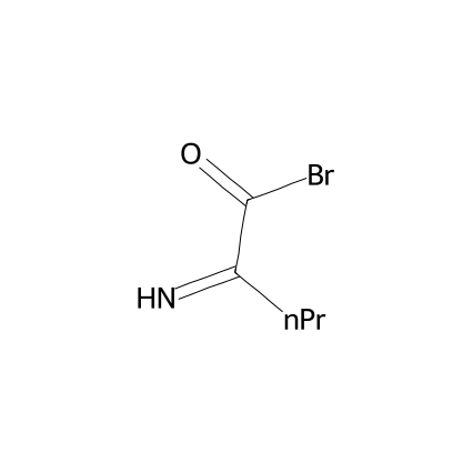 CCCC(=N)C(=O)Br